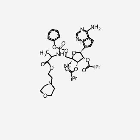 CC(C)C(=O)O[C@H]1[C@H](c2ccc3c(N)ncnn23)O[C@](C#N)(COP(=O)(NC(C)C(=O)OCCN2CCOCC2)Oc2ccccc2)[C@H]1OC(=O)C(C)C